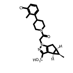 Cc1c(Cl)cccc1C1CCN(C(=O)Cn2nc(C(=O)O)c3c2C[C@H]2[C@@H](C)[C@@H]32)CC1